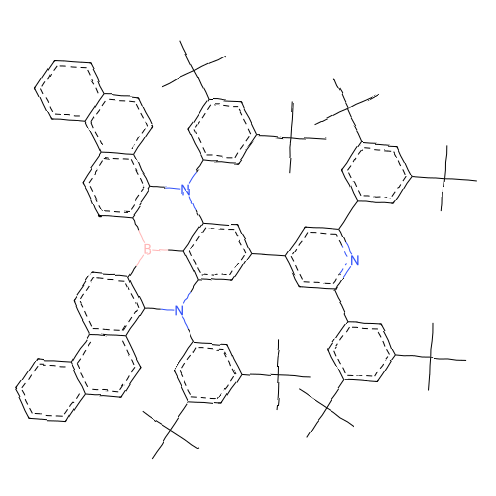 CC(C)(C)c1cc(-c2cc(-c3cc4c5c(c3)N(c3cc(C(C)(C)C)cc(C(C)(C)C)c3)c3c(ccc6c3ccc3ccccc36)B5c3ccc5c(ccc6ccccc65)c3N4c3cc(C(C)(C)C)cc(C(C)(C)C)c3)cc(-c3cc(C(C)(C)C)cc(C(C)(C)C)c3)n2)cc(C(C)(C)C)c1